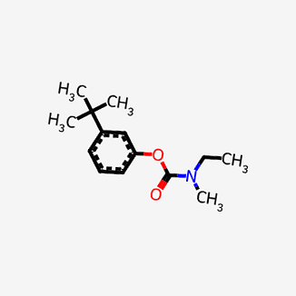 CCN(C)C(=O)Oc1cccc(C(C)(C)C)c1